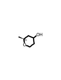 C[C@H]1CC(O)CCO1